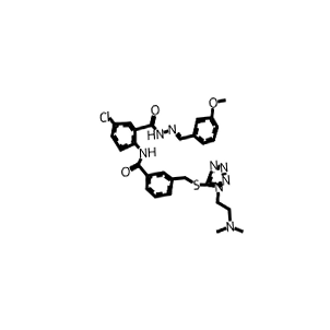 COc1cccc(C=NNC(=O)c2cc(Cl)ccc2NC(=O)c2cccc(CSc3nnnn3CCN(C)C)c2)c1